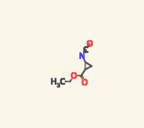 CCOC(=O)C1CC1N=C=O